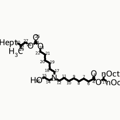 CCCCCCCCC(CCCCCCCC)OC(=O)CCCCCCCN(CCO)CCCCCCOC(=O)OCC(C)CCCCCCC